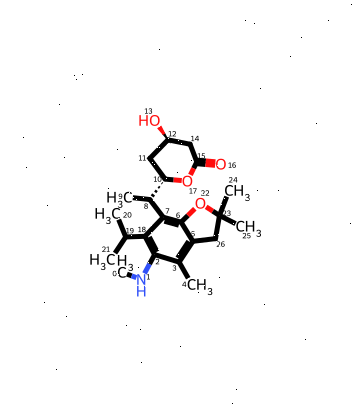 CNc1c(C)c2c(c(C(C)[C@@H]3C[C@@H](O)CC(=O)O3)c1C(C)C)OC(C)(C)C2